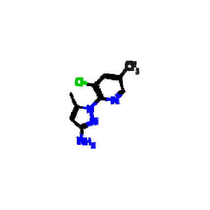 Cc1cc(N)nn1-c1ncc(C(F)(F)F)cc1Cl